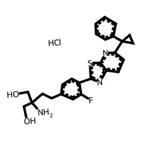 Cl.NC(CO)(CO)CCc1ccc(-c2nc3ccc(C4(c5ccccc5)CC4)nc3s2)c(F)c1